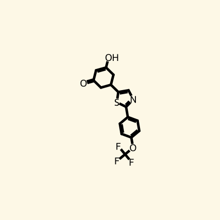 O=C1C=C(O)CC(c2cnc(-c3ccc(OC(F)(F)F)cc3)s2)C1